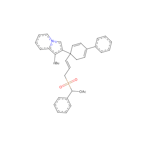 CCCCc1c(C2(C=CCS(=O)(=O)C(OC(C)=O)c3ccccc3)C=CC(c3ccccc3)=CC2)cn2ccccc12